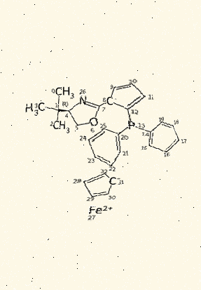 CC(C)(C)[C@@H]1COC([c-]2cccc2P(c2ccccc2)c2ccccc2)=N1.[Fe+2].c1cc[cH-]c1